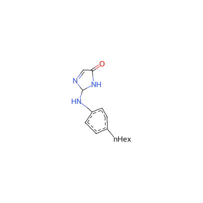 CCCCCCc1ccc(NC2N=CC(=O)N2)cc1